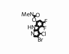 CNC(=O)Oc1cc(F)c(F)c2c1[nH]c1ncc(Br)c(Cl)c12